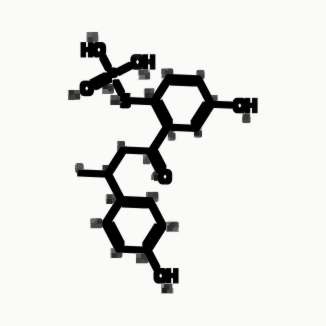 CC(CC(=O)c1cc(O)ccc1SP(=O)(O)O)c1ccc(O)cc1